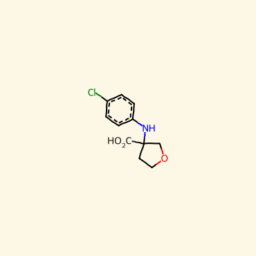 O=C(O)C1(Nc2ccc(Cl)cc2)CCOC1